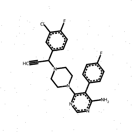 C#CC(c1ccc(F)c(Cl)c1)N1CCN(c2ncnc(N)c2-c2ccc(F)cc2)CC1